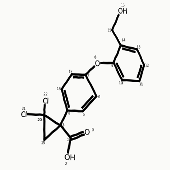 O=C(O)C1(c2ccc(Oc3ccccc3CO)cc2)CC1(Cl)Cl